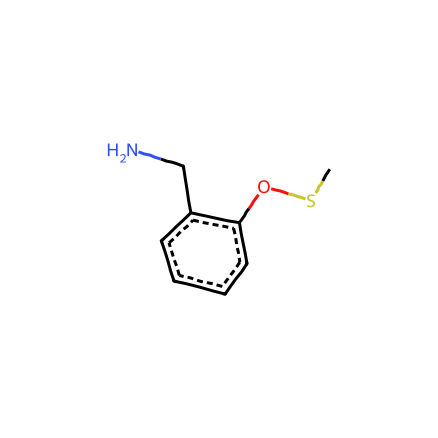 CSOc1ccccc1CN